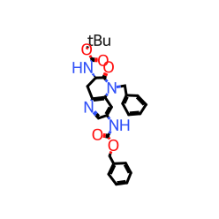 CC(C)(C)OC(=O)N[C@@H]1Cc2ncc(NC(=O)OCc3ccccc3)cc2N(Cc2ccccc2)C1=O